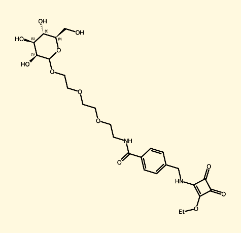 CCOc1c(NCc2ccc(C(=O)NCCOCCOCCOC3O[C@H](CO)[C@@H](O)[C@H](O)[C@@H]3O)cc2)c(=O)c1=O